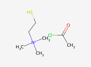 CC(=O)Cl.C[N+](C)(C)CCS